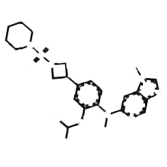 CN(c1cc2c(cn1)ncn2C)c1ccc(C2CN(S(=O)(=O)N3CCCCC3)C2)cc1OC(F)F